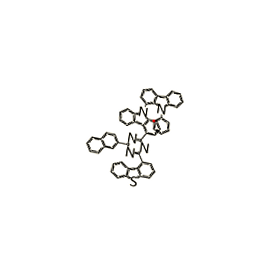 c1ccc(-n2c3ccccc3c3cccc(-n4c5ccccc5c5c(-c6nc(-c7ccc8ccccc8c7)nc(-c7cccc8sc9ccccc9c78)n6)cccc54)c32)cc1